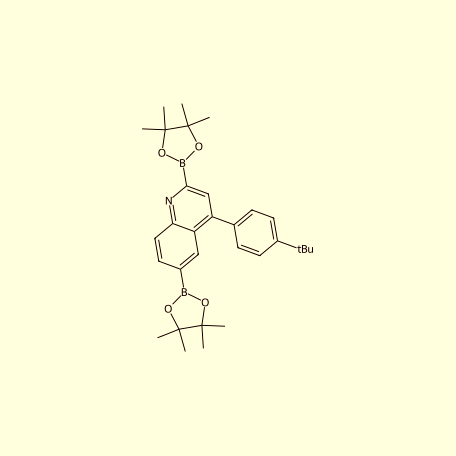 CC(C)(C)c1ccc(-c2cc(B3OC(C)(C)C(C)(C)O3)nc3ccc(B4OC(C)(C)C(C)(C)O4)cc23)cc1